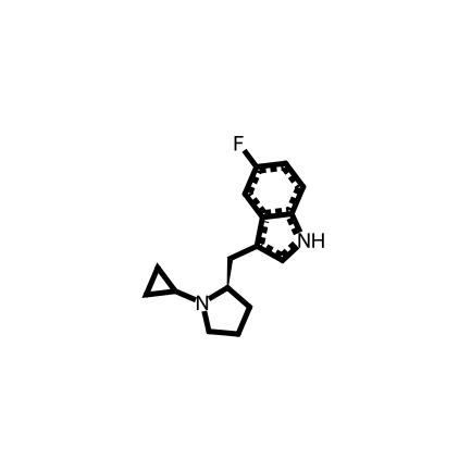 Fc1ccc2[nH]cc(C[C@H]3CCCN3C3CC3)c2c1